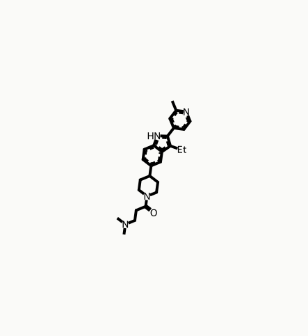 CCc1c(-c2ccnc(C)c2)[nH]c2ccc(C3CCN(C(=O)CCN(C)C)CC3)cc12